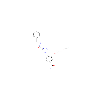 CCNC(=O)c1ccc(-n2cc(C(=O)NCc3ccccc3)nn2)c(OCCOCCF)c1